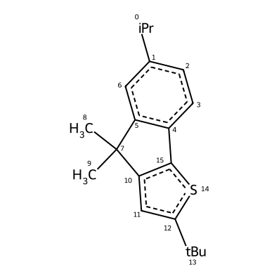 CC(C)c1ccc2c(c1)C(C)(C)c1cc(C(C)(C)C)sc1-2